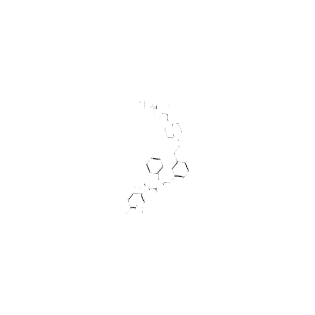 Cc1ccc(NC(=O)N(Cc2cccc(CCN3CCN(C(=O)OC(C)(C)C)CC3)c2)c2ccccc2)cn1